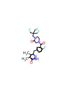 Cc1c(Cc2ccc(F)c(C(=O)N3CCN(CC(CF)(CF)CF)C(=O)C3)c2)n[nH]c(=O)c1C